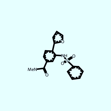 CNC(=O)c1ccc(-c2ccco2)c(NS(=O)(=O)c2ccccc2)c1